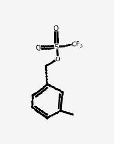 Cc1cccc(COS(=O)(=O)C(F)(F)F)c1